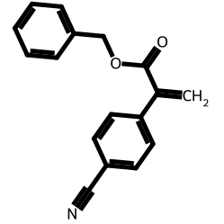 C=C(C(=O)OCc1ccccc1)c1ccc(C#N)cc1